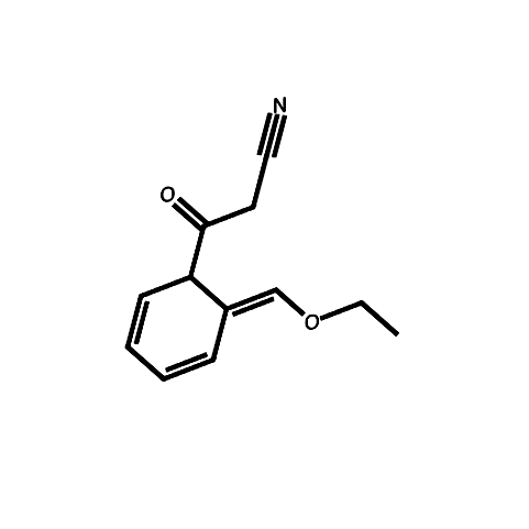 CCOC=C1C=CC=CC1C(=O)CC#N